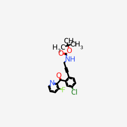 CC(C)(C)OC(=O)NCC#Cc1ccc(Cl)cc1C(=O)c1ncccc1F